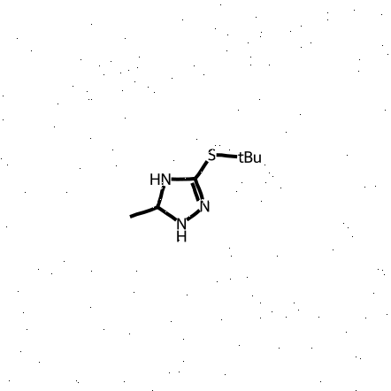 CC1NN=C(SC(C)(C)C)N1